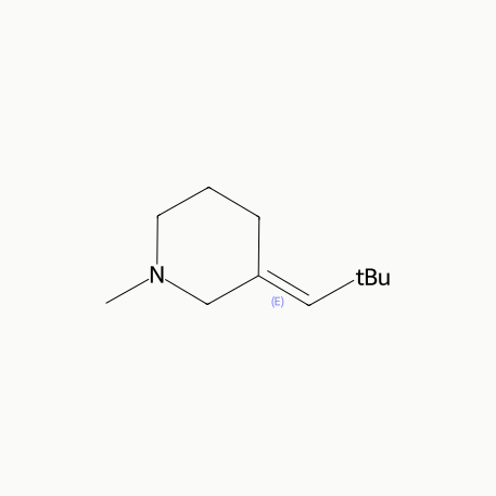 CN1CCC/C(=C\C(C)(C)C)C1